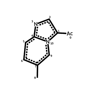 CC(=O)c1cnc2ccc(C)cn12